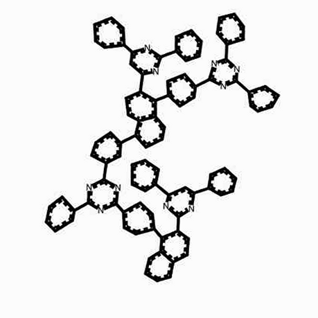 c1ccc(-c2cc(-c3ccc4c(-c5cccc(-c6nc(-c7ccccc7)nc(-c7ccc(-c8c(-c9nc(-c%10ccccc%10)cc(-c%10ccccc%10)n9)ccc9ccccc89)cc7)n6)c5)cccc4c3-c3ccc(-c4nc(-c5ccccc5)nc(-c5ccccc5)n4)cc3)nc(-c3ccccc3)n2)cc1